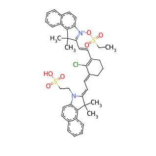 CCS(=O)(=O)O[N+]1=C(C=CC2=C(Cl)C(=CC=C3N(CCS(=O)(=O)O)c4ccc5ccccc5c4C3(C)C)CCC2)C(C)(C)c2c1ccc1ccccc21